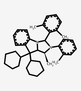 Cc1ccccc1N1C(c2c(C)cccc2C)N2c3ccccc3C(C3CCCCC3)(C3CCCCC3)C2[C@@H]1C